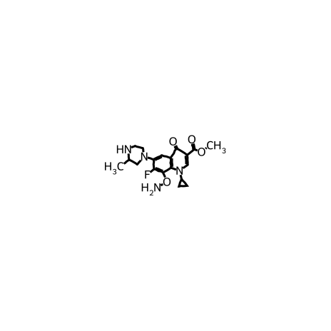 COC(=O)c1cn(C2CC2)c2c(ON)c(F)c(N3CCNC(C)C3)cc2c1=O